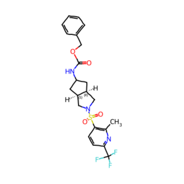 Cc1nc(C(F)(F)F)ccc1S(=O)(=O)N1C[C@H]2CC(NC(=O)OCc3ccccc3)C[C@H]2C1